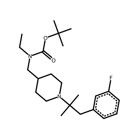 CCN(CC1CCN(C(C)(C)Cc2cccc(F)c2)CC1)C(=O)OC(C)(C)C